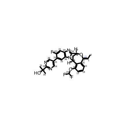 C/C=C1\O[C@@H]2C[C@H](c3c(OC(F)F)cccc31)n1c2nc2cc(F)c(-c3cnc(C(C)(C)O)nc3)cc21